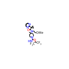 COCCN(C(=O)C1(c2ncccn2)CC1)C1(C)CCN(C(=N)OC(C(F)(F)F)C(F)(F)F)CC1